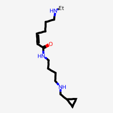 CCNCCC/C=C\C(=O)NCCCCNCC1CC1